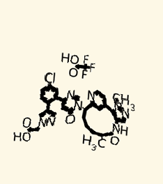 C[C@@H]1CCC[C@H](n2cnc(-c3cc(Cl)ccc3-c3cnn(CC(=O)O)c3)cc2=O)c2cc(ccn2)-c2c(cnn2C)NC1=O.O=C(O)C(F)(F)F